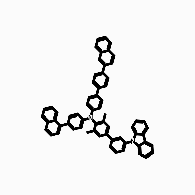 Cc1cc(-c2cccc(-n3c4ccccc4c4ccccc43)c2)cc(C)c1N(c1ccc(-c2ccc(-c3ccc4ccccc4c3)cc2)cc1)c1ccc(-c2cccc3ccccc23)cc1